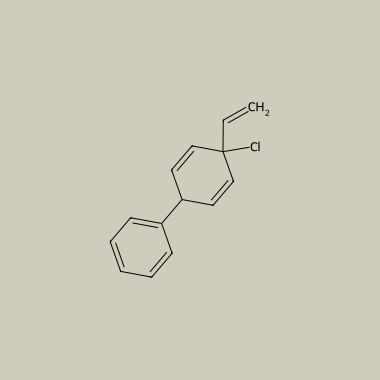 C=CC1(Cl)C=CC(c2ccccc2)C=C1